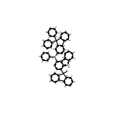 CC1(c2ccc(N(c3ccccc3)c3ccc4c(c3)C(c3ccccc3)(c3ccccc3)c3ccccc3-4)c3c2oc2ccccc23)c2ccccc2-c2ccccc21